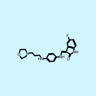 O=C1Nc2ccc(F)cc2C1=CNc1ccc(NCCCN2CCOCC2)cc1